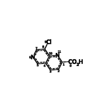 O=C(O)c1ccc2cncc(Cl)c2n1